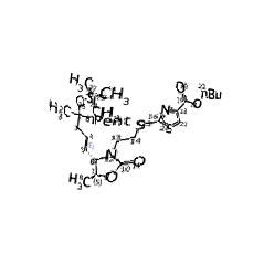 CCCCCC(C)(C/C=C/[C@H]1[C@H](C)OC(=O)N1CCSc1nc(C(=O)OCCCC)cs1)O[Si](C)(C)C